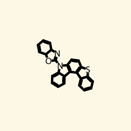 C1=CC2N=C(n3c4ccccc4c4c5c(ccc43)sc3ccccc35)OC2C=C1